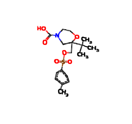 Cc1ccc(S(=O)(=O)OCC2(C(C)(C)C)CN(C(=O)O)CCO2)cc1